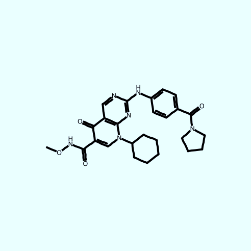 CONC(=O)c1cn(C2CCCCC2)c2nc(Nc3ccc(C(=O)N4CCCC4)cc3)ncc2c1=O